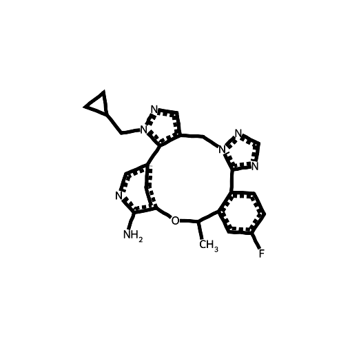 CC1Oc2cc(cnc2N)-c2c(cnn2CC2CC2)Cn2ncnc2-c2ccc(F)cc21